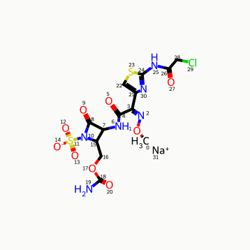 CON=C(C(=O)NC1C(=O)N(S(=O)(=O)[O-])C1COC(N)=O)c1csc(NC(=O)CCl)n1.[Na+]